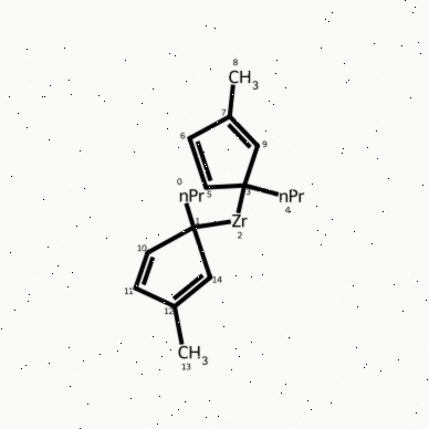 CCC[C]1([Zr][C]2(CCC)C=CC(C)=C2)C=CC(C)=C1